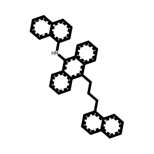 c1ccc2c(CCCc3c4ccccc4c(Nc4cccc5ccccc45)c4ccccc34)cccc2c1